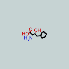 N[C@H](C(=O)O)[C@H](O)Cc1ccccc1